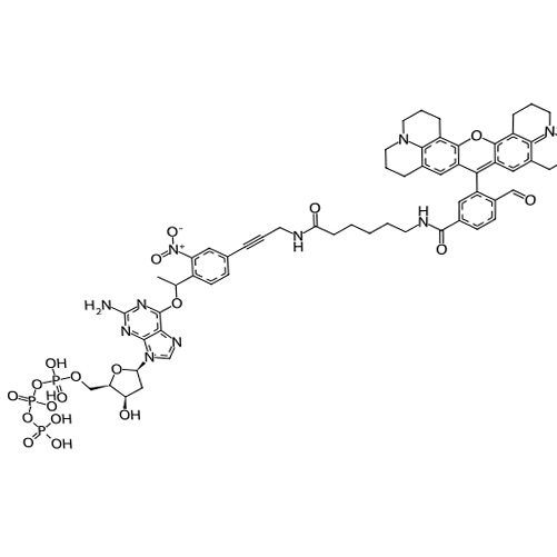 CC(Oc1nc(N)nc2c1ncn2[C@H]1C[C@@H](O)[C@@H](COP(=O)(O)OP(=O)(O)OP(=O)(O)O)O1)c1ccc(C#CCNC(=O)CCCCCNC(=O)c2ccc(C=O)c(C3=c4cc5c6c(c4Oc4c3cc3c7c4CCCN7CCC3)CCC[N+]=6CCC5)c2)cc1[N+](=O)[O-]